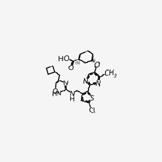 Cc1nc(-c2sc(Cl)cc2CNC2=NC(CC3CCC3)=CON2)ncc1O[C@H]1CCC[C@H](C(=O)O)C1